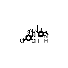 Cc1c(NC2=NSc3cc(Cl)cc(O)c3N2)ccc2[nH]ccc12